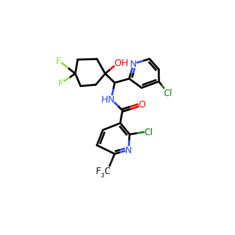 O=C(NC(c1cc(Cl)ccn1)C1(O)CCC(F)(F)CC1)c1ccc(C(F)(F)F)nc1Cl